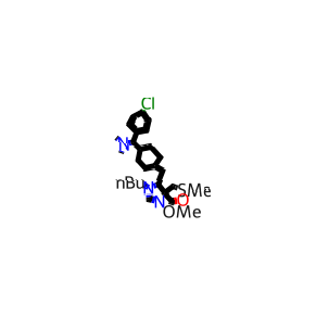 CCCCN1C=NC(CSC)(C(=O)OC)C1CC1CCC(C(c2ccc(Cl)cc2)N(C)C)CC1